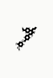 C=C/C=C(\C(F)=C(\F)CC1CCC(COC2C=C(F)C(OC)CC2)CC1)C1CCC(CC)CC1